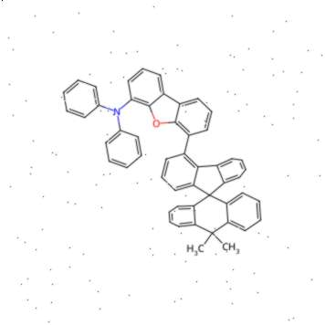 CC1(C)c2ccccc2C2(c3ccccc3-c3c(-c4cccc5c4oc4c(N(c6ccccc6)c6ccccc6)cccc45)cccc32)c2ccccc21